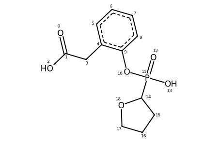 O=C(O)Cc1ccccc1OP(=O)(O)C1CCCO1